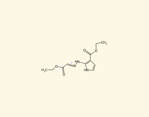 CCOC(=O)/C=N/Nc1[nH]ccc1C(=O)OCC